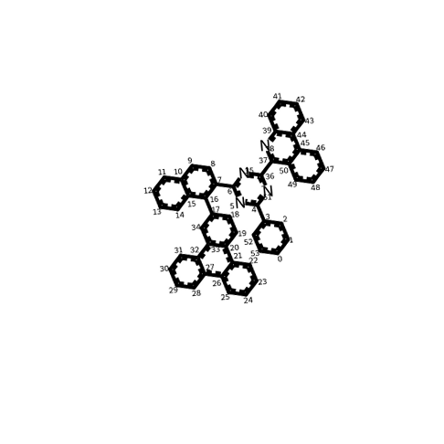 c1ccc(-c2nc(-c3ccc4ccccc4c3-c3ccc4c5ccccc5c5ccccc5c4c3)nc(-c3nc4ccccc4c4ccccc34)n2)cc1